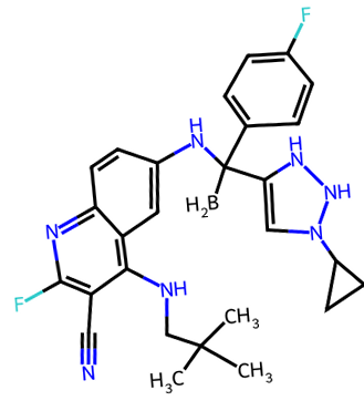 BC(Nc1ccc2nc(F)c(C#N)c(NCC(C)(C)C)c2c1)(C1=CN(C2CC2)NN1)c1ccc(F)cc1